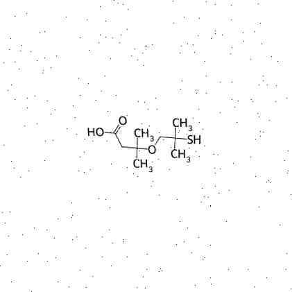 CC(C)(S)COC(C)(C)CC(=O)O